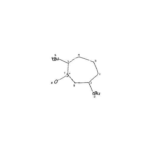 CC(C)(C)C1CCCC(C(C)(C)C)[S+]([O-])C1